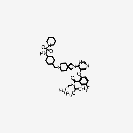 CCN(C(=O)c1cc(F)ccc1Oc1cncnc1N1CC2(CCN(CC3CCC(NS(=O)(=O)N4CCCCC4)CC3)CC2)C1)C(C)C